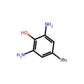 CC(C)(C)c1cc(N)c(O)c(N)c1